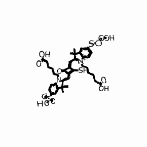 CC1(C)C(=CC2=C(S)C(=CC3=[N+](CCCCCC(=O)O)c4ccc(SOOO)cc4C3(C)C)C2=O)N(CCCCCC(=O)O)c2ccc(S(=O)(=O)O)cc21